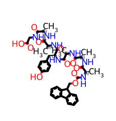 C[C@H](NC(=O)OCC1c2ccccc2-c2ccccc21)C(=O)N[C@@H](C)C(=O)N[C@@H](C)C(=O)N[C@@H](Cc1ccc(O)cc1)C(=O)N[C@@H](C)C(=O)N[C@@H](C)C(=O)NCC(=O)O